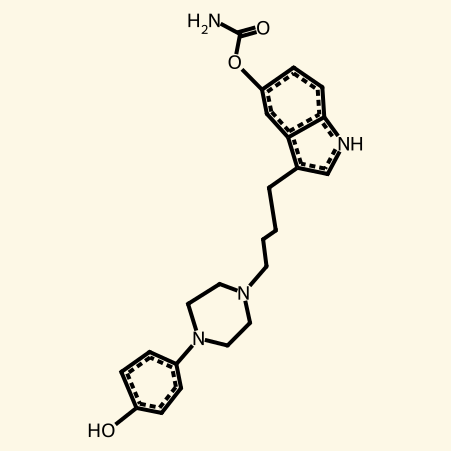 NC(=O)Oc1ccc2[nH]cc(CCCCN3CCN(c4ccc(O)cc4)CC3)c2c1